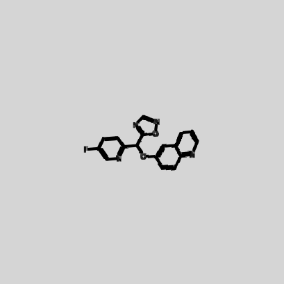 Fc1ccc(C(Oc2ccc3ncccc3c2)c2ncno2)nc1